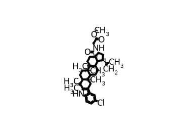 C=C(C)[C@@H]1CC[C@]2(C(=O)NCC(=O)OC)CC[C@]3(C)C(CCC4[C@@]5(C)Cc6c([nH]c7ccc(Cl)cc67)C(C)(C)C5CC[C@]43C)C12